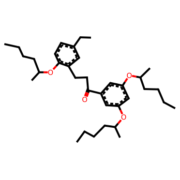 CCCCC(C)Oc1cc(OC(C)CCCC)cc(C(=O)CCc2cc(CC)ccc2OC(C)CCCC)c1